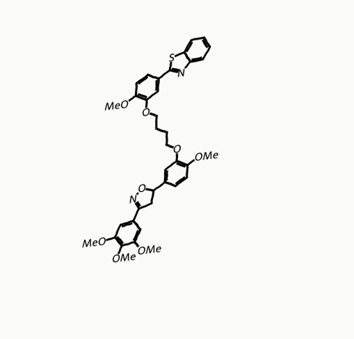 COc1ccc(-c2nc3ccccc3s2)cc1OCCCCOc1cc(C2CC(c3cc(OC)c(OC)c(OC)c3)=NO2)ccc1OC